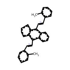 Cc1ccccc1/C=C/c1c2ccccc2c(/C=C/c2ccccc2C)c2ccccc12